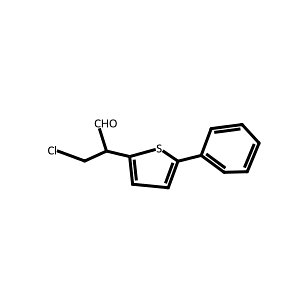 O=CC(CCl)c1ccc(-c2ccccc2)s1